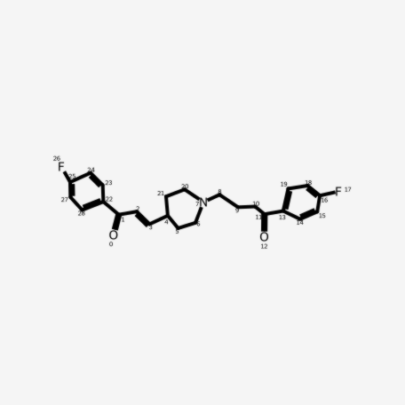 O=C(C=CC1CCN(CCCC(=O)c2ccc(F)cc2)CC1)c1ccc(F)cc1